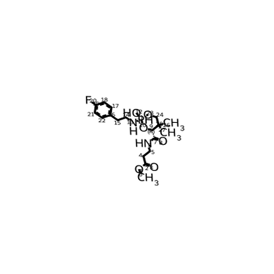 COC(=O)CCNC(=O)[C@@H]1O[PH](O)(NCCc2ccc(F)cc2)OCC1(C)C